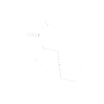 NC(=O)N1CCC2(CCCC2)C1